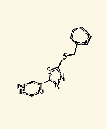 c1ccc(CSc2nnc(-c3cnccn3)s2)cc1